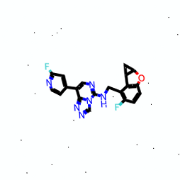 Fc1cc(-c2cnc(NCc3c(F)ccc4c3C3CC3O4)n3cnnc23)ccn1